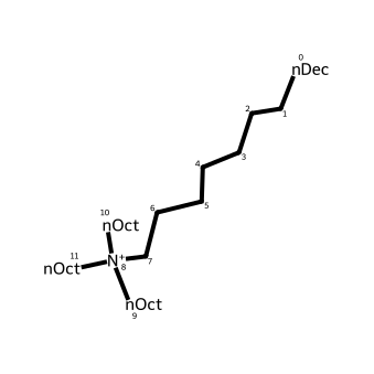 CCCCCCCCCCCCCCCCC[N+](CCCCCCCC)(CCCCCCCC)CCCCCCCC